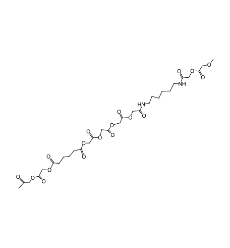 COCC(=O)OCC(=O)NCCCCCCNC(=O)COC(=O)COC(=O)COC(=O)COC(=O)CCCCC(=O)OCC(=O)OCC(C)=O